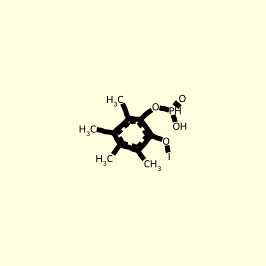 Cc1c(C)c(C)c(O[PH](=O)O)c(OI)c1C